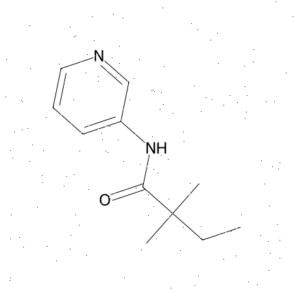 CCC(C)(C)C(=O)Nc1cccnc1